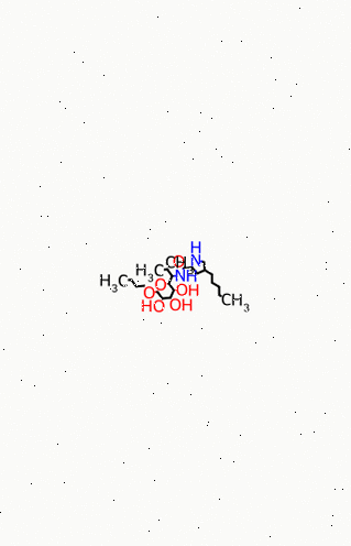 CCCCCC1CN[C@H](C(=O)N[C@H](C(C)C)[C@H]2O[C@H](OCCCC)[C@H](O)[C@@H](O)[C@H]2O)C1